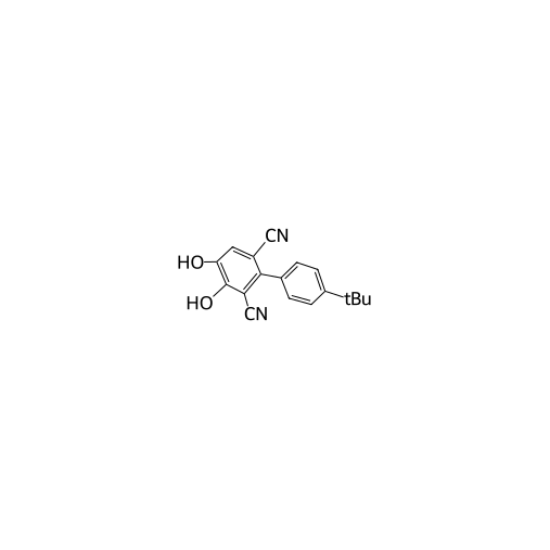 CC(C)(C)c1ccc(-c2c(C#N)cc(O)c(O)c2C#N)cc1